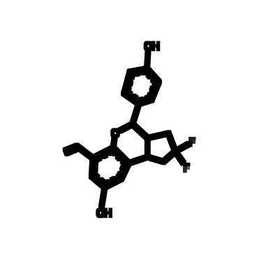 C=Cc1cc(O)cc2c1OC(c1ccc(O)cc1)C1CC(F)(F)CC21